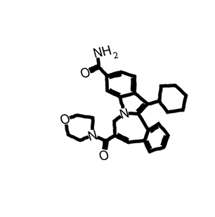 NC(=O)c1ccc2c(C3CCCCC3)c3n(c2c1)CC(C(=O)N1CCOCC1)=Cc1ccccc1-3